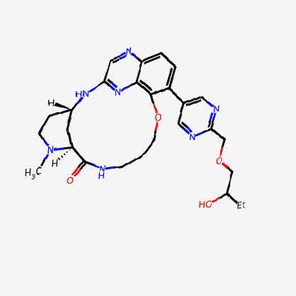 CCC(O)COCc1ncc(-c2ccc3ncc4nc3c2OCCCNC(=O)[C@@H]2C[C@H](CCN2C)N4)cn1